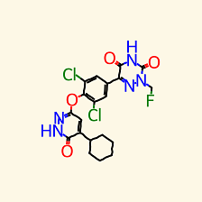 O=c1[nH]nc(Oc2c(Cl)cc(-c3nn(CF)c(=O)[nH]c3=O)cc2Cl)cc1C1CCCCC1